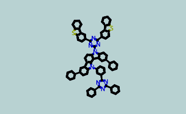 c1ccc(-c2ccc3c(c2)c2c(ccc4c5cc(-c6ccccc6)ccc5n(-c5cccc(-c6nc(-c7ccccc7)nc(-c7ccccc7)n6)c5)c42)n3-c2nc(-c3ccc4sc5ccccc5c4c3)nc(-c3ccc4sc5ccccc5c4c3)n2)cc1